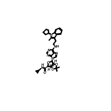 Cc1c(CCNc2ncnc3c2ncn3[C@@H]2O[C@H](C(=O)NC3CC3)[C@H]3OC(C)(C)O[C@H]32)c2ccccc2n1C1CCCC1